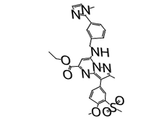 CCOC(=O)c1cc(NCc2cccc(-c3nccn3C)c2)n2nc(C)c(-c3ccc(OC)c(S(C)(=O)=O)c3)c2n1